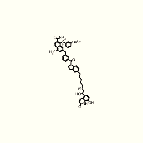 COc1cccc(Nc2c(C(N)=O)cnc3c(C)cc(Cc4cccc(C(=O)N5CCc6cc(CCCCCNC[C@H](O)c7ccc(O)c8[nH]c(=O)ccc78)ccc65)c4)cc23)c1